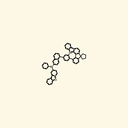 c1ccc(N(c2ccc3c(-c4ccc5c(c4)-n4c6ccccc6c6ccc7c(c64)-c4c-5cccc4C74CCCC4)cccc3c2)c2ccc3sc4ccccc4c3c2)cc1